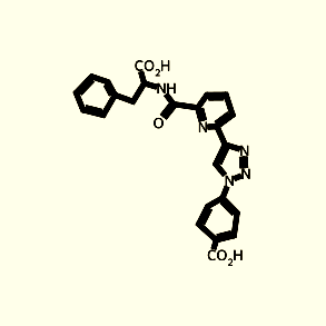 O=C(O)c1ccc(-n2cc(-c3cccc(C(=O)NC(Cc4ccccc4)C(=O)O)n3)nn2)cc1